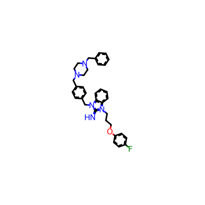 N=c1n(CCCOc2ccc(F)cc2)c2ccccc2n1Cc1ccc(CN2CCN(Cc3ccccc3)CC2)cc1